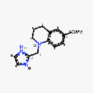 COc1ccc2c(c1)CCCN2Cc1ncc[nH]1